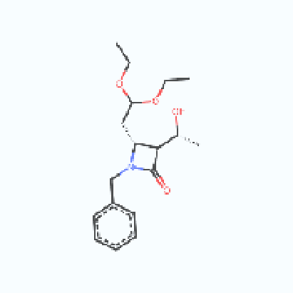 CCOC(C[C@@H]1[C@@H]([C@@H](C)O)C(=O)N1Cc1ccccc1)OCC